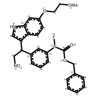 COCCOc1ccc2c(C(C[N+](=O)[O-])c3cccc(N(F)C(=O)OCc4ccccc4)c3)c[nH]c2c1